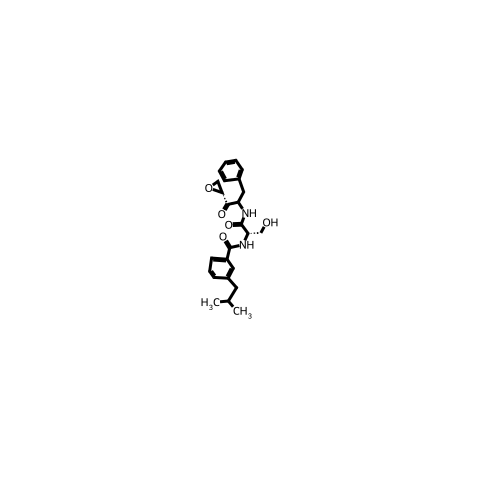 CC(C)Cc1cccc(C(=O)N[C@@H](CO)C(=O)NC(Cc2ccccc2)C(=O)[C@H]2CO2)c1